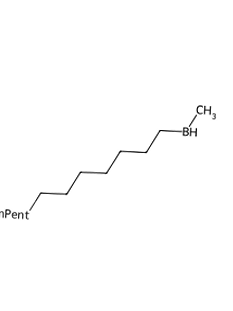 CBCCCCCCCCCCCC